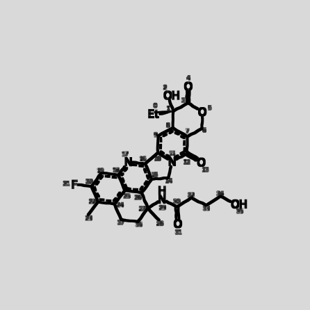 CC[C@@]1(O)C(=O)OCc2c1cc1n(c2=O)Cc2c-1nc1cc(F)c(C)c3c1c2C(C)(NC(=O)CCCO)CC3